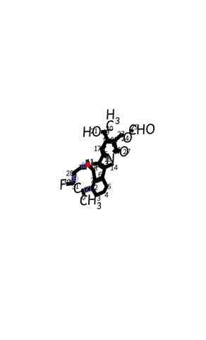 C/C1=C2\CCCC3=C2CCC(=N\C2=C3Cn3c2cc(C(C)O)c(COC=O)c3=O)/C=C(/F)C1